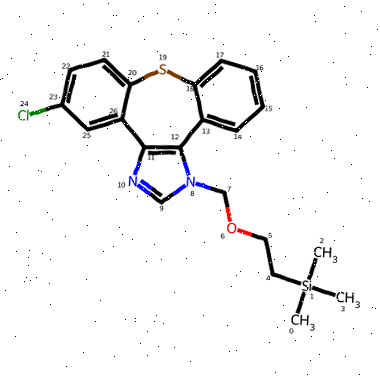 C[Si](C)(C)CCOCn1cnc2c1-c1ccccc1Sc1ccc(Cl)cc1-2